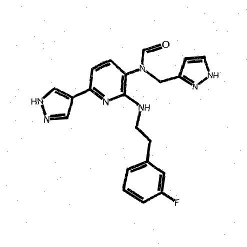 O=CN(Cc1cc[nH]n1)c1ccc(-c2cn[nH]c2)nc1NCCc1cccc(F)c1